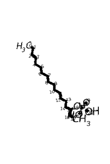 CCCCCCCCCCCCCCCC(CC)OP(=O)(O)O